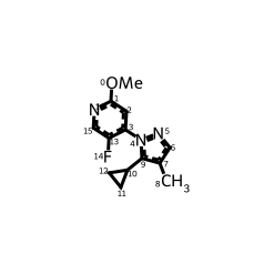 COc1cc(-n2ncc(C)c2C2CC2)c(F)cn1